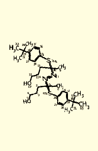 CC(CCCO)(N=NC(C)(CCCO)Sc1ccc(C(C)(C)C)cc1)Sc1ccc(C(C)(C)C)cc1